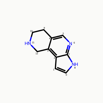 c1cc2c3c(cnc2[nH]1)CCNC3